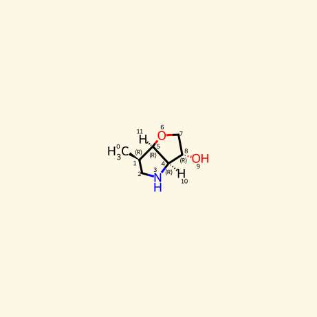 C[C@@H]1CN[C@H]2[C@@H]1OC[C@@H]2O